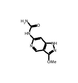 COc1n[nH]c2cc(NC(N)=O)ncc12